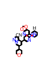 N#Cc1cnn2cc(C3=CCOCC3)cc(C3=CN=C(N4CC5C[C@H](C4)N5Cc4cnc5c(c4)OCO5)CC3)c12